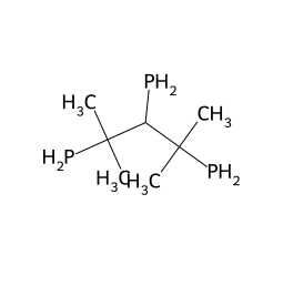 CC(C)(P)C(P)C(C)(C)P